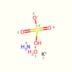 N.O.O=S(=O)([O-])O.[K+]